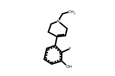 CCN1CC=C(c2cccc(O)c2F)CC1